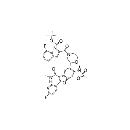 CNC(=O)c1c(-c2ccc(F)cc2)oc2cc(N(C)S(C)(=O)=O)c(C3CN(C(=O)c4cc5cccc(F)c5n4C(=O)OC(C)(C)C)CCO3)cc12